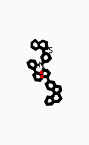 C1=CC2=c3c(sc4ccc(N(c5ccc(-c6ccc7c(ccc8ccc9ccccc9c87)c6)cc5)c5ccccc5-c5ccccc5)cc34)=CCC2CC1